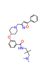 CN(C)CC(C)(C)CNC(=O)c1cccc(OC2CCN(Cc3cc(-c4ccccc4)on3)CC2)c1